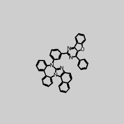 c1ccc(-c2nc(-c3cccc(N4c5ccccc5-c5ccccc5-n5c4nc4ccc6ccccc6c45)c3)nc3c2oc2ccccc23)cc1